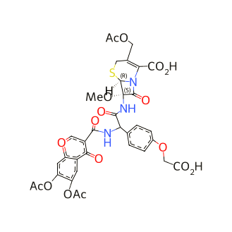 CO[C@@]1(NC(=O)C(NC(=O)c2coc3cc(OC(C)=O)c(OC(C)=O)cc3c2=O)c2ccc(OCC(=O)O)cc2)C(=O)N2C(C(=O)O)=C(COC(C)=O)CS[C@@H]21